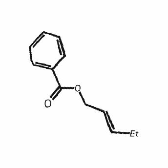 CCC=CCOC(=O)c1ccccc1